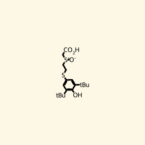 CC(C)(C)c1cc(SCC[S+]([O-])CC(=O)O)cc(C(C)(C)C)c1O